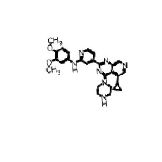 COc1ccc(Nc2cc(-c3nc(N4CCNCC4)c4c(C5CC5)cncc4n3)ccn2)cc1OC